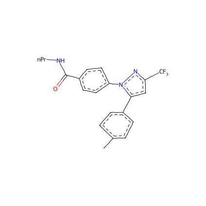 CCCNC(=O)c1ccc(-n2nc(C(F)(F)F)cc2-c2ccc(C)cc2)cc1